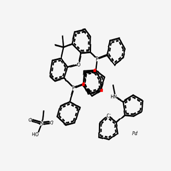 CC1(C)c2cccc(P(c3ccccc3)c3ccccc3)c2Oc2c(P(c3ccccc3)c3ccccc3)cccc21.CNc1ccccc1-c1[c-]cccc1.CS(=O)(=O)O.[Pd]